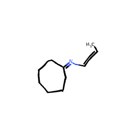 C/C=C\N=C1CCCCCC1